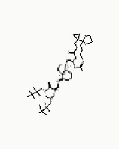 C=C1/C(=C\C=C2/CCC[C@]3(C)[C@@H]([C@H](C)C(CC(=O)CCC4(C5(CCCC)OCCO5)CC4)OC(C)=O)CC[C@@H]23)C[C@@H](O[Si](C)(C)C(C)(C)C)C[C@@H]1O[Si](C)(C)C(C)(C)C